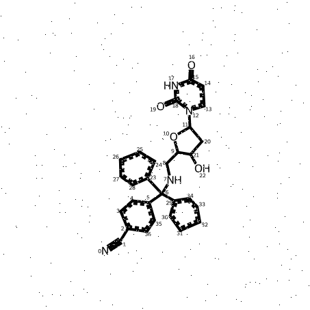 N#Cc1ccc(C(NCC2OC(n3ccc(=O)[nH]c3=O)CC2O)(c2ccccc2)c2ccccc2)cc1